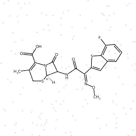 CO/N=C(/C(=O)NC1C(=O)N2C(C(=O)O)=C(C)CS[C@H]12)c1cc2cccc(F)c2s1